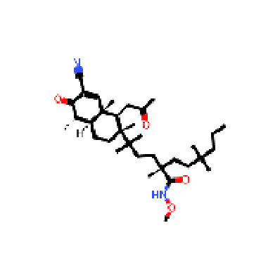 CCCC(C)(C)CC[C@@](C)(CCC(C)(C)[C@]1(C)CC[C@H]2[C@H](C)C(=O)C(C#N)=C[C@]2(C)[C@H]1CC(C)=O)C(=O)NOC